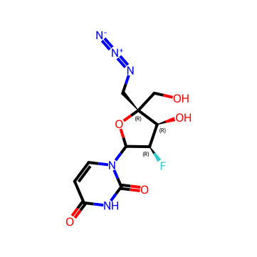 [N-]=[N+]=NC[C@]1(CO)OC(n2ccc(=O)[nH]c2=O)[C@H](F)[C@@H]1O